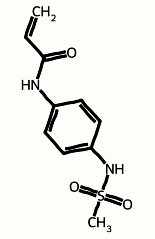 C=CC(=O)Nc1ccc(NS(C)(=O)=O)cc1